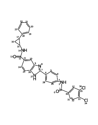 O=C(Nc1ccc(-c2nc3cc(C(=O)NC4CC4c4ccccc4)ccc3[nH]2)cc1)c1ccc(Cl)c(Cl)c1